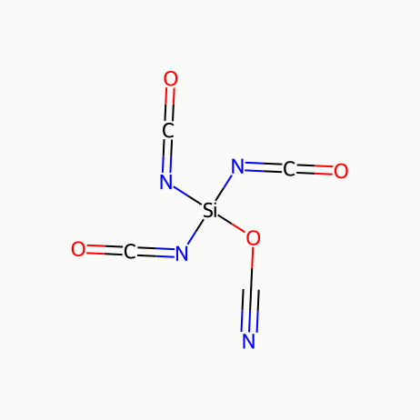 N#CO[Si](N=C=O)(N=C=O)N=C=O